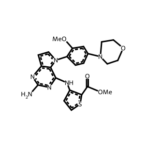 COC(=O)c1sccc1Nc1nc(N)nc2ccn(-c3ccc(N4CCOCC4)cc3OC)c12